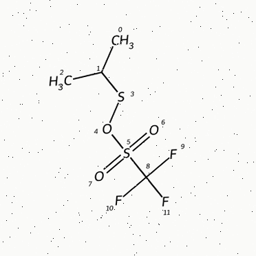 CC(C)SOS(=O)(=O)C(F)(F)F